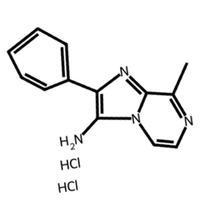 Cc1nccn2c(N)c(-c3ccccc3)nc12.Cl.Cl